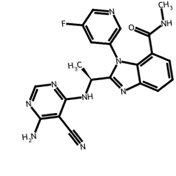 CNC(=O)c1cccc2nc([C@H](C)Nc3ncnc(N)c3C#N)n(-c3cncc(F)c3)c12